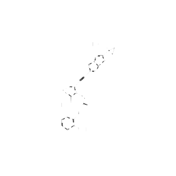 Cc1ccccc1COC(=O)Nc1c(C)nsc1C#Cc1cc2sc(C3(C(=O)O)CC3)cc2s1